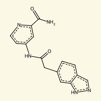 NC(=O)c1cc(NC(=O)Cc2ccc3cn[nH]c3c2)ccn1